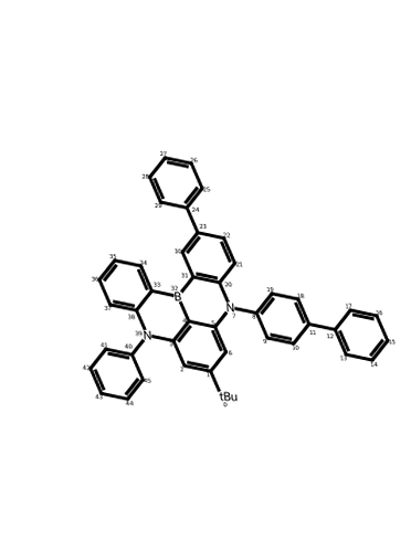 CC(C)(C)c1cc2c3c(c1)N(c1ccc(-c4ccccc4)cc1)c1ccc(-c4ccccc4)cc1B3c1ccccc1N2c1ccccc1